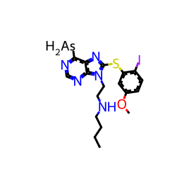 CCCCNCCn1c(Sc2cc(OC)ccc2I)nc2c([AsH2])ncnc21